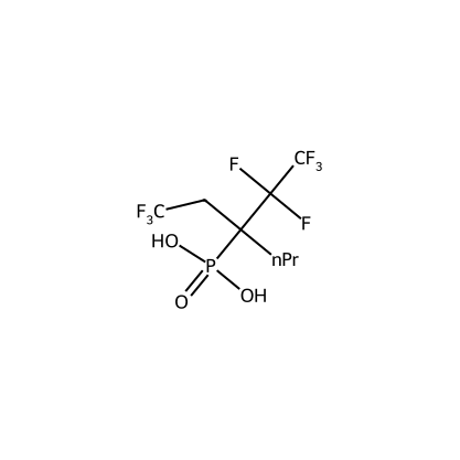 CCCC(CC(F)(F)F)(C(F)(F)C(F)(F)F)P(=O)(O)O